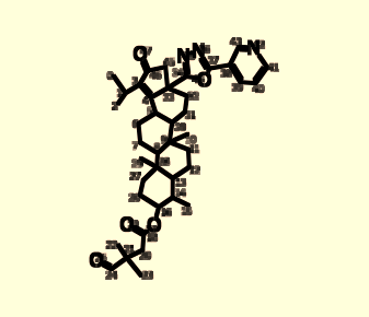 CC(C)C1=C2C3CCC4C(C)(CCC5C(C)C(OC(=O)CC(C)(C)C=O)CCC54C)C3CCC2(c2nnc(-c3cccnc3)o2)CC1=O